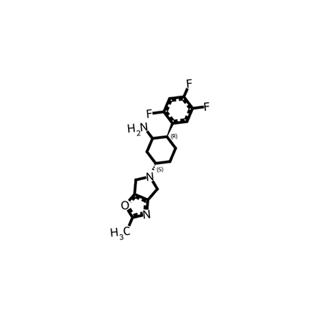 Cc1nc2c(o1)CN([C@H]1CC[C@H](c3cc(F)c(F)cc3F)C(N)C1)C2